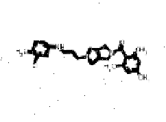 Cc1cc(C)c(C(=O)N2CC3CN(CCCNc4ccc(C)c(Cl)c4)CC3C2)c(C)c1